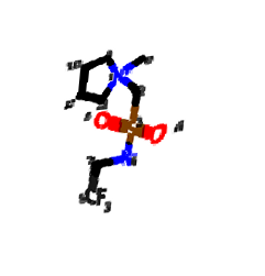 C[N+]1(CS(=O)(=O)[N-]CC(F)(F)F)CCCC1